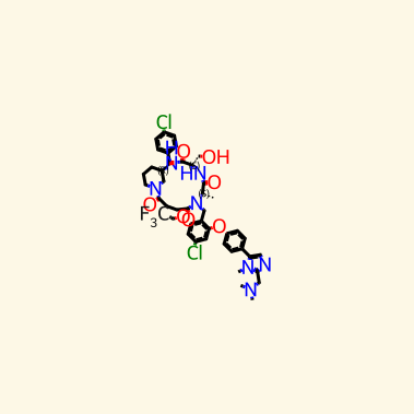 C[C@H]1C(=O)N[C@@H](CO)C(=O)N[C@@]2(Cc3ccc(Cl)cc3)CCCN(C2)C(=O)CCC(=O)N1Cc1c(OCC(F)(F)F)cc(Cl)cc1Oc1ccc(-c2cnc(CN(C)C)n2C)cc1